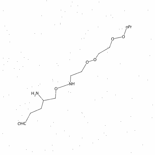 CCCOOCCOOCCNOCC(N)CCC=O